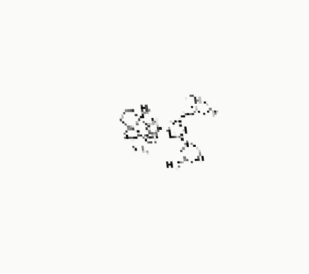 C[C@@H]1COCCN(c2nc(OC[C@@]34CCCN3C[C@H](F)C4)nc(-c3noc([C@@]4(C)CCCc5sc(N)c(C#N)c54)n3)n2)C1